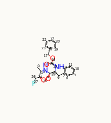 CC(NC(=O)[C@H](Cc1ccccc1)NC(=O)OCc1ccccc1)C(=O)CF